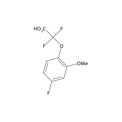 COc1cc(F)ccc1OC(F)(F)C(=O)O